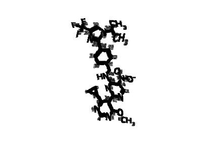 COc1ncnc(C2CC2)c1-c1ncc([N+](=O)[O-])c(NCc2ccc(-c3nc(C(F)(F)F)cn3C(C)C)cc2)n1